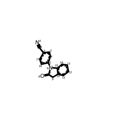 N#Cc1ccc(N2C(=O)Cc3ccccc32)cc1